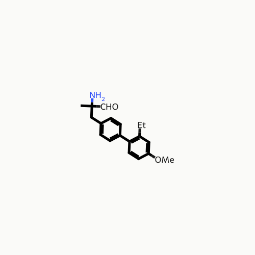 CCc1cc(OC)ccc1-c1ccc(CC(C)(N)C=O)cc1